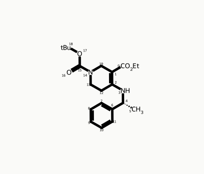 CCOC(=O)C1=C(N[C@H](C)c2ccccc2)CCN(C(=O)OC(C)(C)C)C1